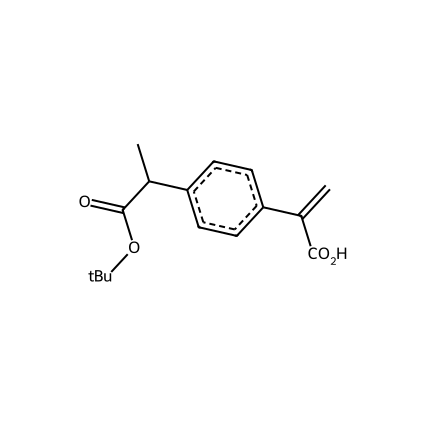 C=C(C(=O)O)c1ccc(C(C)C(=O)OC(C)(C)C)cc1